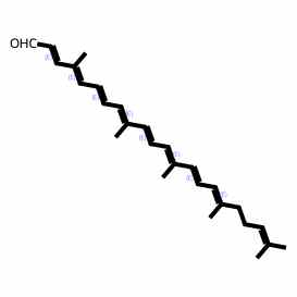 CC(C)=CCC/C(C)=C/C=C/C(C)=C/C=C/C(C)=C/C=C/C=C(C)/C=C/C=O